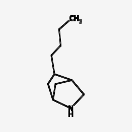 CCCCC1CC2CC1CN2